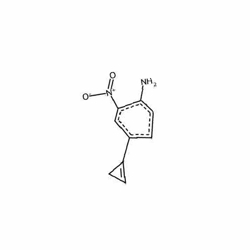 Nc1ccc(C2=CC2)cc1[N+](=O)[O-]